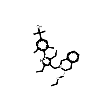 CCOC[C@H]1Cc2ccccc2CN1Cc1c(CC)nn(-c2c(C)cc(C(C)(C)O)cc2C)c1CC